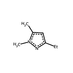 CCc1cc(C)n(C)n1